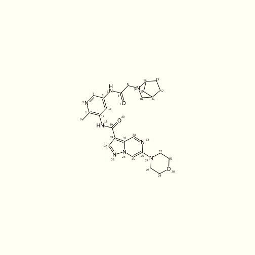 Cc1ncc(NC(=O)CN2CC3CCC2C3)cc1NC(=O)c1cnn2cc(N3CCOCC3)ncc12